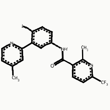 Cc1ccnc(-c2cc(NC(=O)c3ccc(C(F)(F)F)nc3C)ccc2I)c1